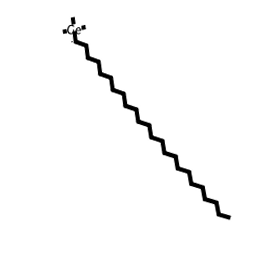 CCCCCCCCCCCCCCCCCCCCCCC[CH][Ge]([CH3])([CH3])[CH3]